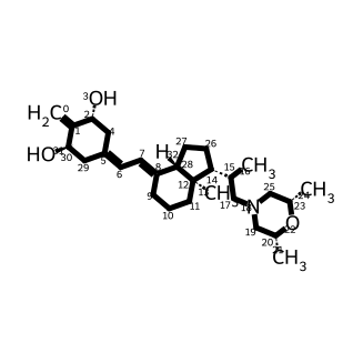 C=C1[C@H](O)CC(=C/C=C2\CCC[C@]3(C)[C@@H](C(C)CN4C[C@@H](C)O[C@@H](C)C4)CC[C@@H]23)C[C@H]1O